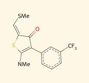 CNC1=C(c2cccc(C(F)(F)F)c2)C(=O)/C(=C\SC)S1